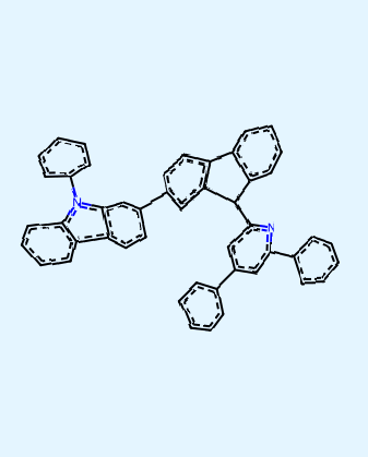 c1ccc(-c2cc(-c3ccccc3)nc(C3c4ccccc4-c4ccc(-c5ccc6c7ccccc7n(-c7ccccc7)c6c5)cc43)c2)cc1